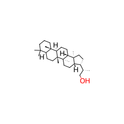 C[C@H](CO)[C@H]1CC[C@]2(C)[C@H]3CC[C@@H]4[C@@]5(C)CCCC(C)(C)[C@@H]5CC[C@@]4(C)[C@]3(C)CC[C@@H]12